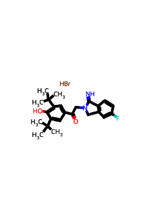 Br.CC(C)(C)c1cc(C(=O)CN2Cc3cc(F)ccc3C2=N)cc(C(C)(C)C)c1O